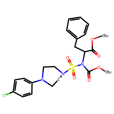 CC(C)(C)OC(=O)C(Cc1ccccc1)N(C(=O)OC(C)(C)C)S(=O)(=O)N1CCN(c2ccc(Cl)cc2)CC1